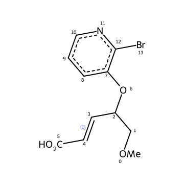 COCC(/C=C/C(=O)O)Oc1cccnc1Br